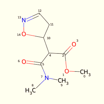 COC(=O)C(C(=O)N(C)C)C1C[C]=NO1